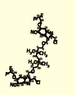 CS(C)(CCOCn1c(CCl)nc2cc(OCC(F)F)c(C#N)cc21)CCS(C)(C)CCOCn1c(CCl)nc2cc(C#N)c(OCC(F)F)cc21